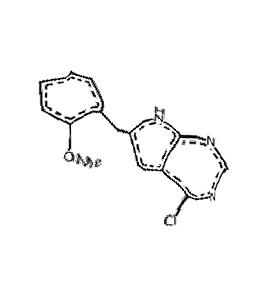 COc1ccccc1-c1cc2c(Cl)ncnc2[nH]1